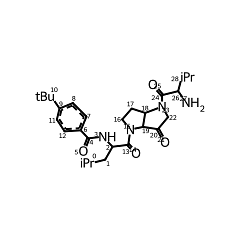 CC(C)CC(NC(=O)c1ccc(C(C)(C)C)cc1)C(=O)N1CCC2C1C(=O)CN2C(=O)C(N)C(C)C